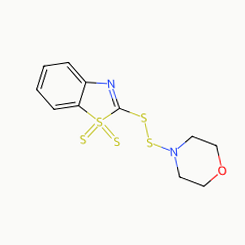 S=S1(=S)C(SSN2CCOCC2)=Nc2ccccc21